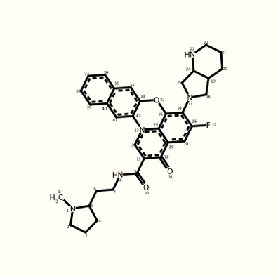 CN1CCCC1CCNC(=O)c1cn2c3c(c(N4CC5CCCNC5C4)c(F)cc3c1=O)Oc1cc3ccccc3cc1-2